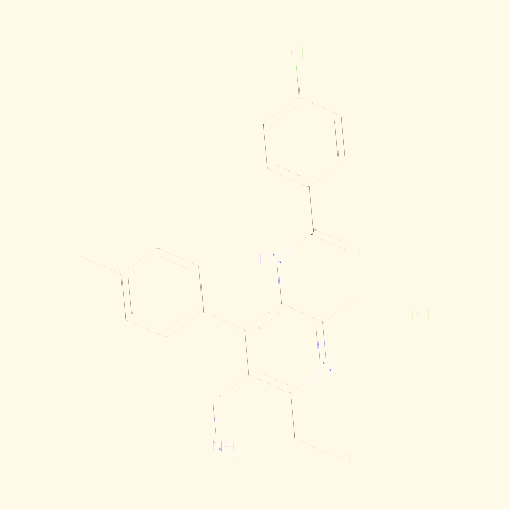 Cc1ccc(-c2c(CN)c(CC(C)C)nc(C)c2NC(=O)c2ccc(Cl)cc2)cc1.Cl.Cl